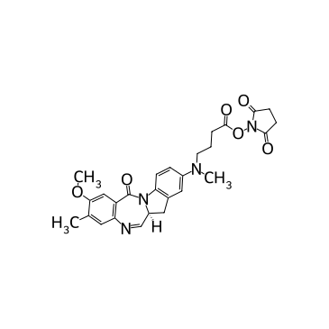 COc1cc2c(cc1C)N=C[C@@H]1Cc3cc(N(C)CCCC(=O)ON4C(=O)CCC4=O)ccc3N1C2=O